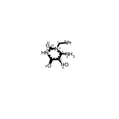 CC(C)Cn1c(N)c(N=O)c(=O)[nH]c1=O